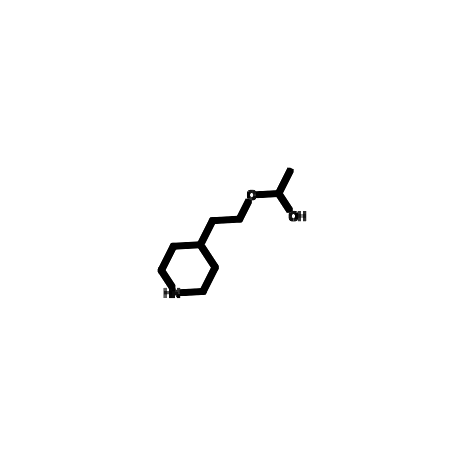 CC(O)OCCC1CCNCC1